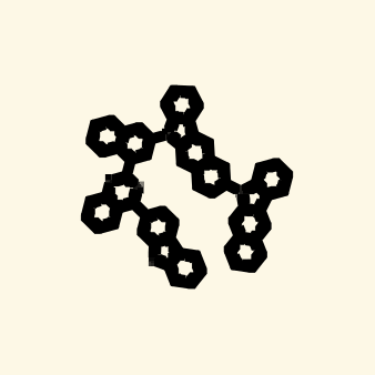 c1ccc2cc3c(cc2c1)c1ccccc1n3-c1ccc2cc3c(cc2c1)c1ccccc1n3-c1cc(-c2nc(-c3ccc4c(c3)sc3ccccc34)c3ccccc3n2)c2ccccc2c1